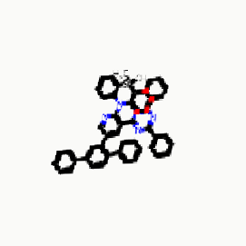 C[Si]1(C)c2ccccc2N(c2ncc(-c3cc(-c4ccccc4)ccc3-c3ccccc3)cc2-c2nc(-c3ccccc3)nc(-c3ccccc3)n2)c2ccccc21